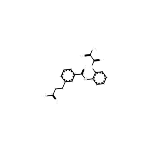 C=C(C)C(=O)Oc1ccccc1NC(=O)c1cccc(CCC(N)=O)c1